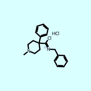 CN1CCC(/C(Cl)=N/Cc2ccccc2)(c2ccccc2)CC1.Cl